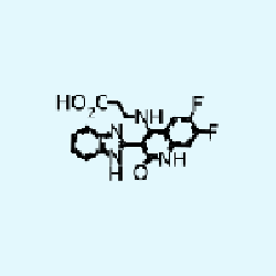 O=C(O)CCNc1c(-c2nc3ccccc3[nH]2)c(=O)[nH]c2cc(F)c(F)cc12